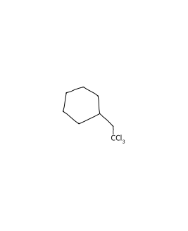 ClC(Cl)(Cl)CC1CCCCC1